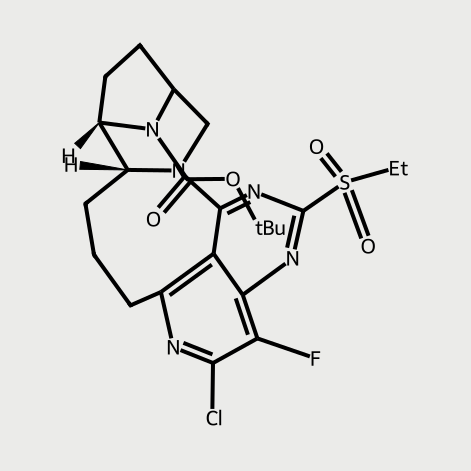 CCS(=O)(=O)c1nc2c3c(nc(Cl)c(F)c3n1)CCC[C@@H]1[C@@H]3CCC(CN21)N3C(=O)OC(C)(C)C